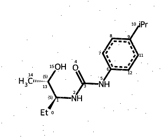 CC[C@H](NC(=O)Nc1ccc(C(C)C)cc1)[C@H](C)O